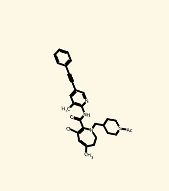 CC(=O)N1CCC(CN2CCC(C)=CC(Cl)=C2C(=O)Nc2ncc(C#Cc3ccccc3)cc2C)CC1